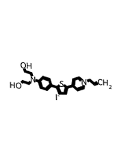 C=CC[n+]1ccc(-c2ccc(-c3ccc(N(CCO)CCO)cc3)s2)cc1.[I-]